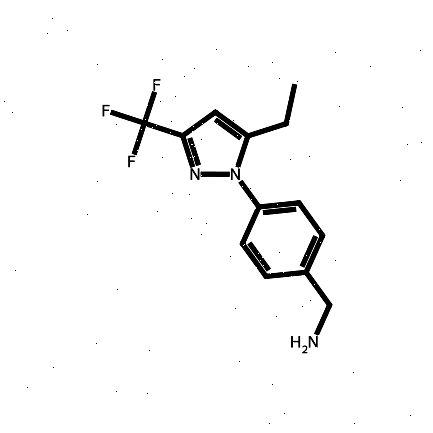 CCc1cc(C(F)(F)F)nn1-c1ccc(CN)cc1